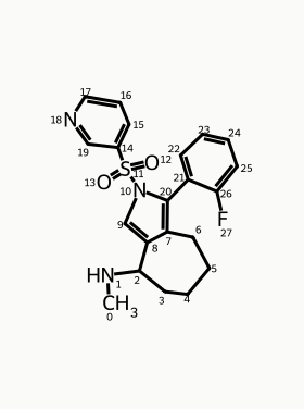 CNC1CCCCc2c1cn(S(=O)(=O)c1cccnc1)c2-c1ccccc1F